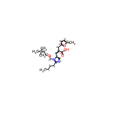 CCCCc1ncc(/C=C(/Cc2ccc(C)o2)C(=O)O)n1COCC[Si](C)(C)C